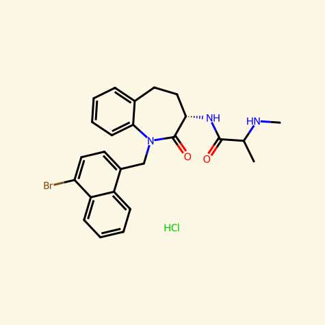 CNC(C)C(=O)N[C@H]1CCc2ccccc2N(Cc2ccc(Br)c3ccccc23)C1=O.Cl